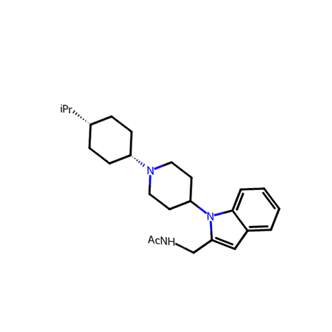 CC(=O)NCc1cc2ccccc2n1C1CCN([C@H]2CC[C@@H](C(C)C)CC2)CC1